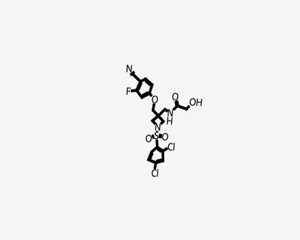 N#Cc1ccc(OCC2(CNC(=O)CO)CN(S(=O)(=O)c3ccc(Cl)cc3Cl)C2)cc1F